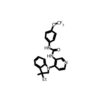 CCC1(C)CN(c2ccncc2NC(=O)Nc2ccc(OC(F)(F)F)cc2)c2ccccc21